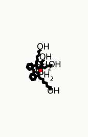 OCCCCCCC(P)(CCCCCCO)c1ccccc1Nc1ccccc1C(P)(CCCCCCO)CCCCCCO